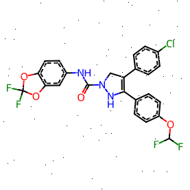 O=C(Nc1ccc2c(c1)OC(F)(F)O2)N1CC(c2ccc(Cl)cc2)=C(c2ccc(OC(F)F)cc2)N1